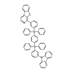 c1ccc([Si](c2ccccc2)(c2ccc([Si](c3ccccc3)(c3ccccc3)c3cccc(-n4c5ccccc5c5ccccc54)c3)cc2)c2cccc(-c3nccc4c3sc3ccccc34)c2)cc1